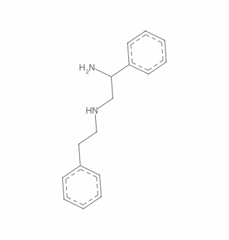 NC(CNCCc1ccccc1)c1ccccc1